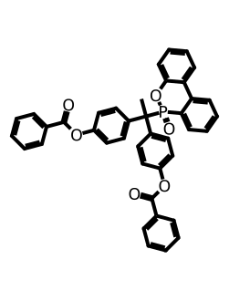 CC(c1ccc(OC(=O)c2ccccc2)cc1)(c1ccc(OC(=O)c2ccccc2)cc1)P1(=O)Oc2ccccc2-c2ccccc21